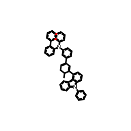 CC1CC=C(c2cccc(N(c3ccccc3)c3ccccc3-c3ccccc3)c2)C=C1c1cccc2c1c1ccccc1n2-c1ccccc1